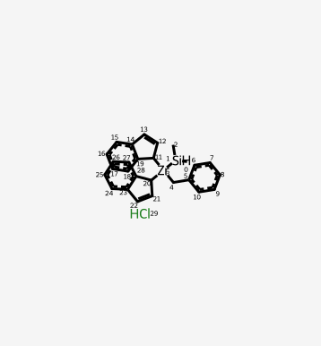 C[SiH](C)[Zr]([CH2]c1ccccc1)([CH]1C=Cc2ccccc21)[CH]1C=Cc2ccccc21.Cl